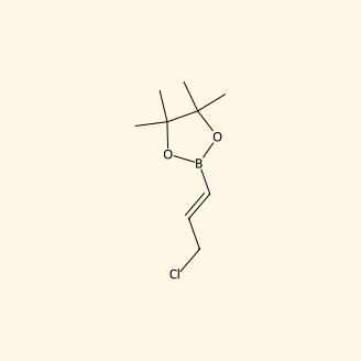 CC1(C)OB(C=CCCl)OC1(C)C